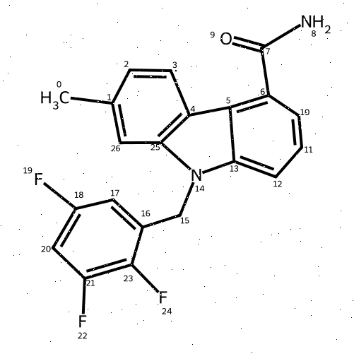 Cc1c[c]c2c3c(C(N)=O)cccc3n(Cc3cc(F)cc(F)c3F)c2c1